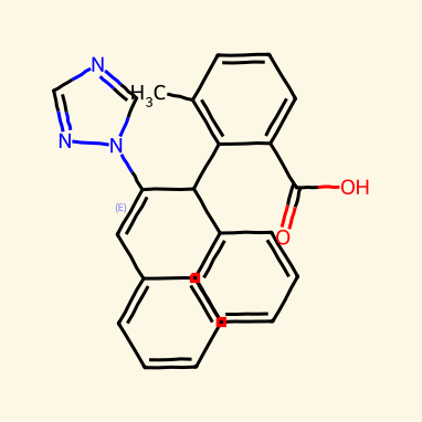 Cc1cccc(C(=O)O)c1C(/C(=C\c1ccccc1)n1cncn1)c1ccccc1